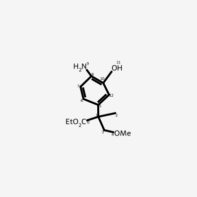 CCOC(=O)C(C)(COC)c1ccc(N)c(O)c1